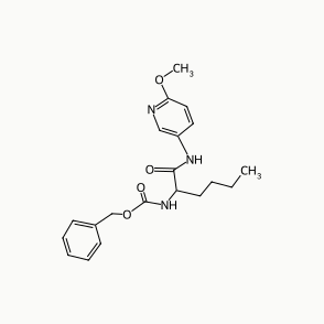 CCCCC(NC(=O)OCc1ccccc1)C(=O)Nc1ccc(OC)nc1